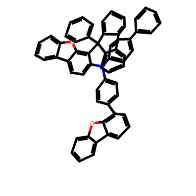 c1ccc(-c2ccc(N(c3ccc(-c4cccc5c4oc4ccccc45)cc3)c3ccc4c(oc5ccccc54)c3C3(c4ccccc4)c4ccccc4-c4ccccc43)cc2)cc1